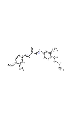 COc1ccc(/C=C/C(=O)/C=C/c2ccc(OCCN)c(C)c2)cc1C